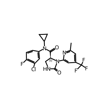 Cc1cc(C(F)(F)F)cc(N2C(=O)NC[C@H]2C(=O)N(c2ccc(F)c(Cl)c2)C2CC2)n1